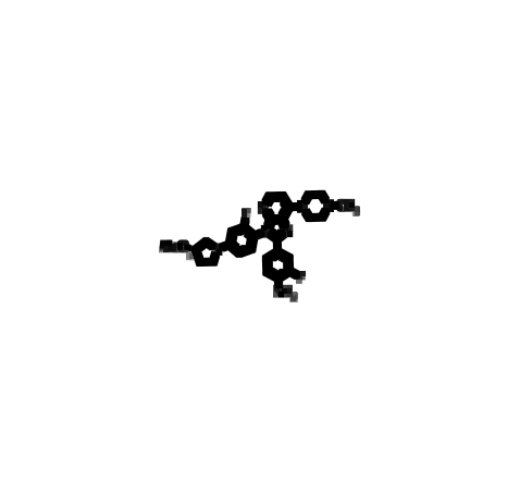 CO[C@H]1CCN(c2ccc(-n3c(-c4ccc(N)c(F)c4)nc4c(N5CCN(C)CC5)ccnc43)c(F)c2)C1